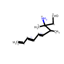 C=C/C=C/C=C/C(C)C(C)(N)CC=O